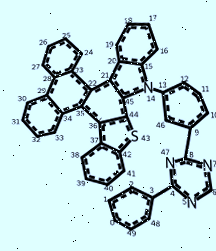 c1ccc(-c2ncnc(-c3cccc(-n4c5ccccc5c5c6c7ccccc7c7ccccc7c6c6c7ccccc7sc6c54)c3)n2)cc1